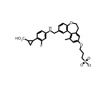 CCS(=O)(=O)CCCOc1cc(C)c2c(c1)CCOc1ccc(CNc3ccc(C4CC4C(=O)O)c(F)c3)cc1-2